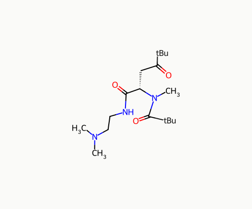 CN(C)CCNC(=O)[C@H](CC(=O)C(C)(C)C)N(C)C(=O)C(C)(C)C